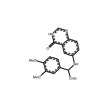 COc1ccc(C(C=O)Nc2ccc3nc[nH]c(=O)c3c2)cc1OC